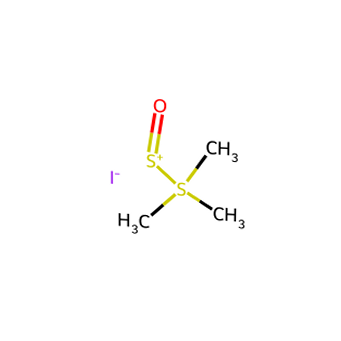 CS(C)(C)[S+]=O.[I-]